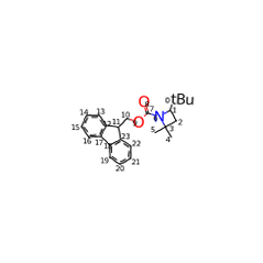 CC(C)(C)C1CC(C)(C)N1C(=O)OCC1c2ccccc2-c2ccccc21